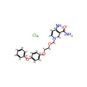 NC(=O)c1c[n+](COCCOc2ccc(Oc3ccccc3)cc2)ccc1N.[Cl-]